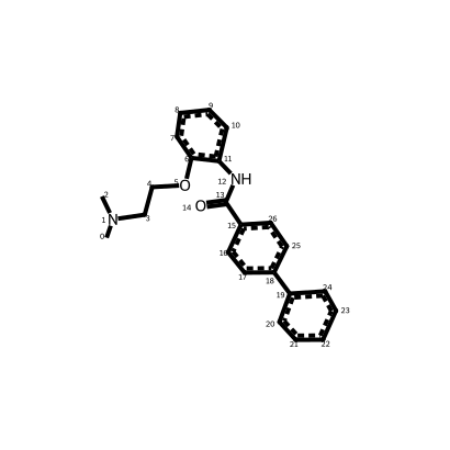 CN(C)CCOc1ccccc1NC(=O)c1ccc(-c2ccccc2)cc1